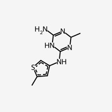 Cc1cc(NC2=NC(C)N=C(N)N2)cs1